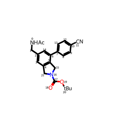 CC(=O)NCc1cc2c(c(-c3ccc(C#N)cc3)c1)CN(C(=O)OC(C)(C)C)C2